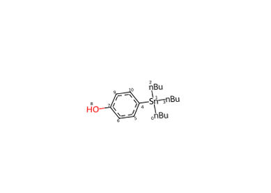 CCC[CH2][Sn]([CH2]CCC)([CH2]CCC)[c]1ccc(O)cc1